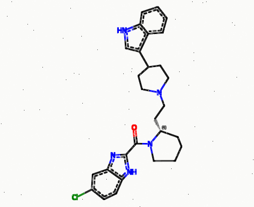 O=C(c1nc2cc(Cl)ccc2[nH]1)N1CCCC[C@H]1CCN1CCC(c2c[nH]c3ccccc23)CC1